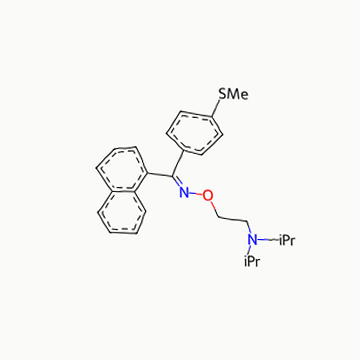 CSc1ccc(C(=NOCCN(C(C)C)C(C)C)c2cccc3ccccc23)cc1